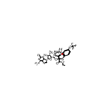 CCOC(=O)C(OC[C@H]1O[C@@H](n2cnc3c(N)nc(Cl)nc32)[C@H](O)[C@@H]1O)(Sc1ccc(OC(F)(F)F)cc1)c1nn[nH]n1